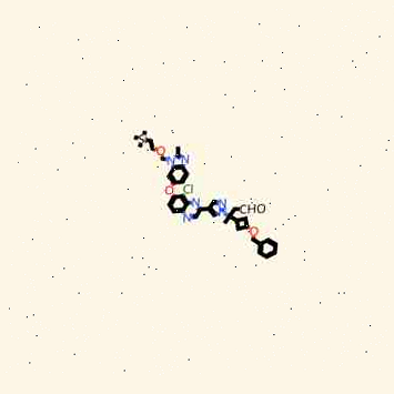 Cc1nc2ccc(Oc3ccc4ncc(-c5cnn(C(C)(CC=O)C6CC(OCc7ccccc7)C6)c5)nc4c3Cl)cc2n1COCC[Si](C)(C)C